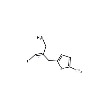 Cc1ccc(C/C(=C\F)CN)s1